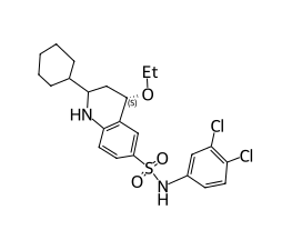 CCO[C@H]1CC(C2CCCCC2)Nc2ccc(S(=O)(=O)Nc3ccc(Cl)c(Cl)c3)cc21